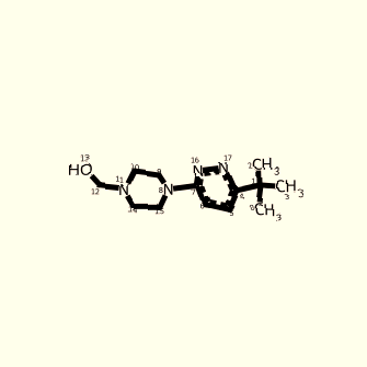 CC(C)(C)c1ccc(N2CCN(CO)CC2)nn1